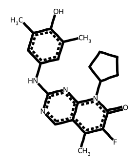 Cc1cc(Nc2ncc3c(C)c(F)c(=O)n(C4CCCC4)c3n2)cc(C)c1O